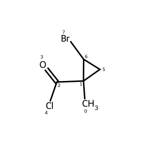 CC1(C(=O)Cl)CC1Br